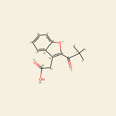 CC(C)(C)C(=O)c1oc2ccccc2c1CC(=O)O